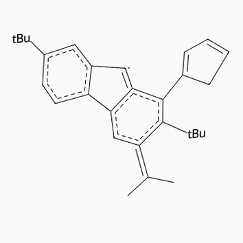 CC(C)=c1cc2c(c(C3=CC=CC3)c1C(C)(C)C)=[C]c1cc(C(C)(C)C)ccc1-2